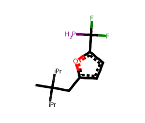 CC(C)C(C)(Cc1ccc(C(F)(F)P)o1)C(C)C